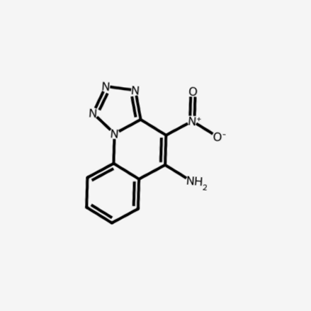 Nc1c([N+](=O)[O-])c2nnnn2c2ccccc12